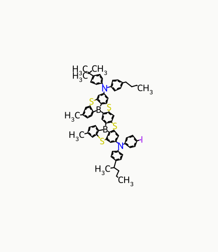 CCCCc1ccc(N(c2ccc(C(C)(C)C)cc2)c2cc3c4c(c2)Sc2cc5c(cc2B4c2ccc(C)cc2S3)B2c3ccc(C)cc3Sc3cc(N(c4ccc(I)cc4)c4ccc(C(C)CCC)cc4)cc(c32)S5)cc1